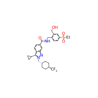 CCS(=O)(=O)c1ccc(CNC(=O)c2ccc3c(C4CC4)n(C[C@H]4CC[C@H](C(F)(F)F)CC4)nc3c2)c(CO)c1